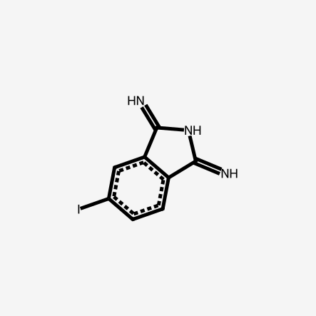 N=C1NC(=N)c2cc(I)ccc21